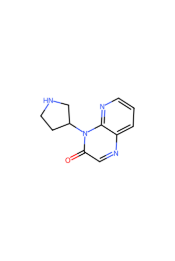 O=c1cnc2cccnc2n1C1CCNC1